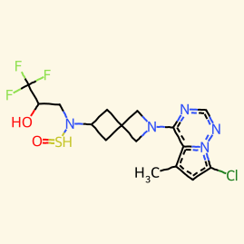 Cc1cc(Cl)n2ncnc(N3CC4(CC(N(CC(O)C(F)(F)F)[SH]=O)C4)C3)c12